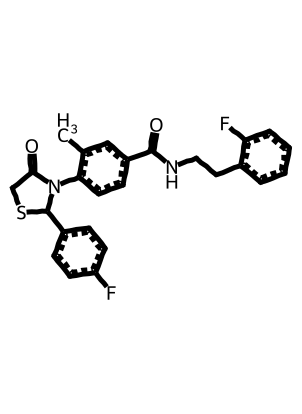 Cc1cc(C(=O)NCCc2ccccc2F)ccc1N1C(=O)CSC1c1ccc(F)cc1